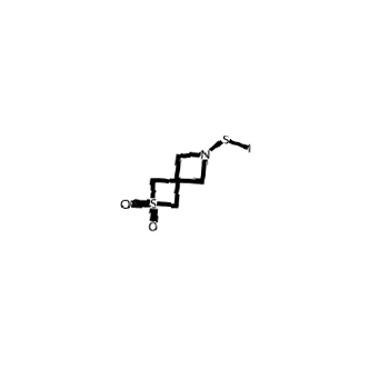 O=S1(=O)CC2(CN(SI)C2)C1